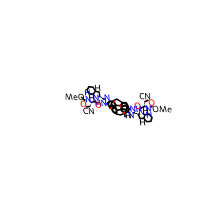 COC(=O)N[C@@H](CCC#N)C(=O)N1[C@H](c2nc3cc(-c4cc5ccc4CCc4ccc(c(-c6ccc7[nH]c([C@@H]8C[C@@H]9CCCC[C@@H]9N8C(=O)[C@H](CCC#N)NC(=O)OC)nc7c6)c4)C[C@H]5C)ccc3[nH]2)C[C@@H]2CCCC[C@@H]21